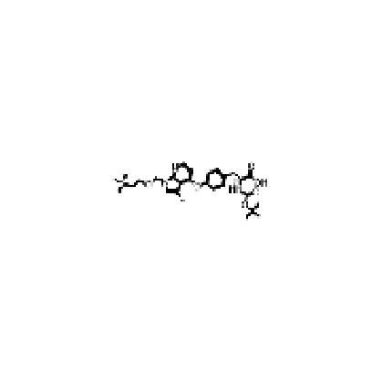 CC(C)(C)OC(=O)N[C@@H](Cc1ccc(Oc2ccnc3c2c(F)cn3COCCS(C)(C)C)cc1)C(=O)O